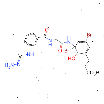 NN=CNc1cccc(C(=O)NCC(=O)NC2(Br)C=C(Br)C=C(CCC(=O)O)C2O)c1